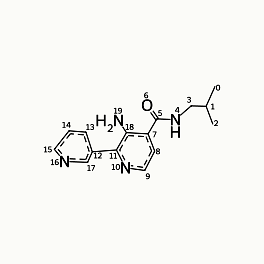 CC(C)CNC(=O)c1ccnc(-c2cccnc2)c1N